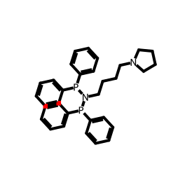 c1ccc(P(c2ccccc2)N(CCCCN2CCCC2)P(c2ccccc2)c2ccccc2)cc1